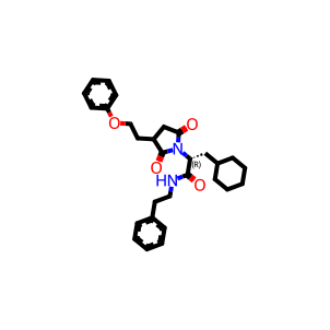 O=C(NCCc1ccccc1)[C@@H](CC1CCCCC1)N1C(=O)CC(CCOc2ccccc2)C1=O